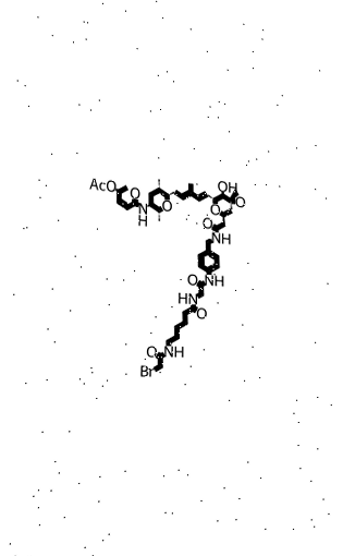 CC(=O)O[C@@H](C)/C=C\C(=O)N[C@@H]1C[C@H](C)[C@H](C/C=C(C)/C=C/[C@H]2O[C@H](CC(=O)NCc3ccc(NC(=O)CNC(=O)CCCCCNC(=O)CBr)cc3)C[C@@]3(CO3)[C@@H]2O)O[C@@H]1C